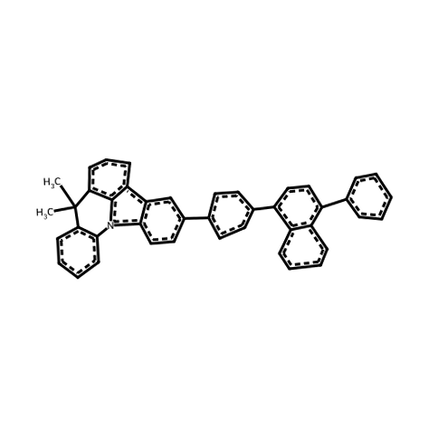 CC1(C)c2ccccc2-n2c3ccc(-c4ccc(-c5ccc(-c6ccccc6)c6ccccc56)cc4)cc3c3cccc1c32